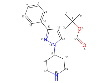 CC(C)(C)OC=O.c1ccc(-c2ccn(C3CCNCC3)n2)cc1